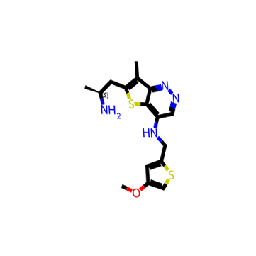 COc1csc(CNc2cnnc3c(C)c(C[C@H](C)N)sc23)c1